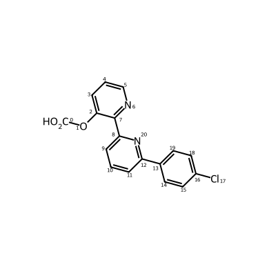 O=C(O)Oc1cccnc1-c1cccc(-c2ccc(Cl)cc2)n1